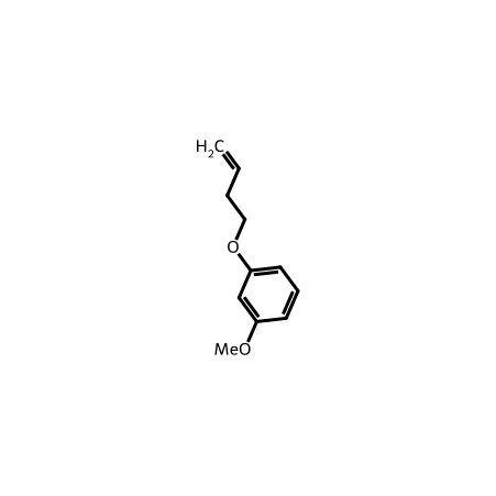 C=CCCOc1cccc(OC)c1